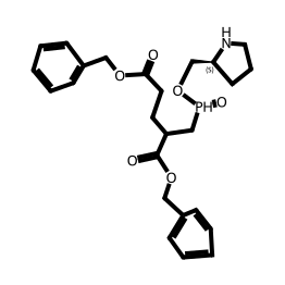 O=C(CCC(C[PH](=O)OC[C@@H]1CCCN1)C(=O)OCc1ccccc1)OCc1ccccc1